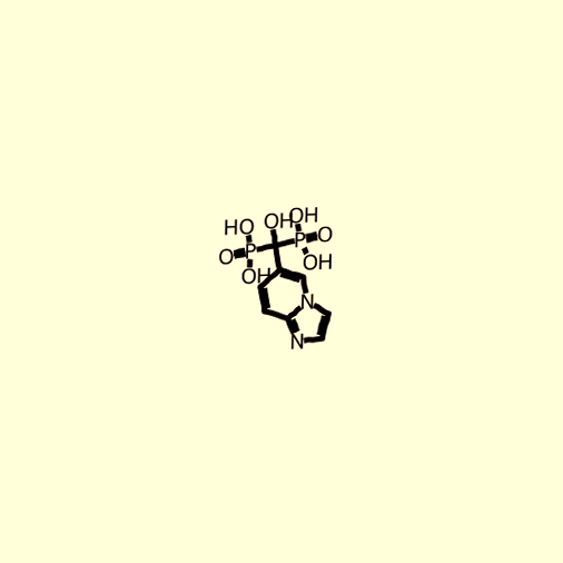 O=P(O)(O)C(O)(c1ccc2nccn2c1)P(=O)(O)O